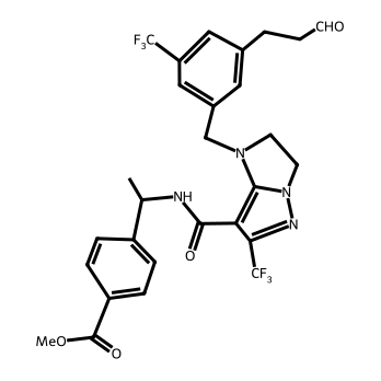 COC(=O)c1ccc(C(C)NC(=O)c2c(C(F)(F)F)nn3c2N(Cc2cc(CCC=O)cc(C(F)(F)F)c2)CC3)cc1